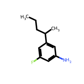 CCCC(C)c1cc(N)cc(F)c1